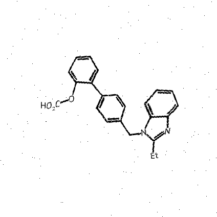 CCc1nc2ccccc2n1Cc1ccc(-c2ccccc2OC(=O)O)cc1